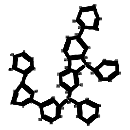 c1ccc(-c2cccc(-c3cccc(N(c4ccccc4)c4ccc5c6ccc(-c7ccccc7)cc6n(-c6ccccc6)c5c4)c3)c2)cc1